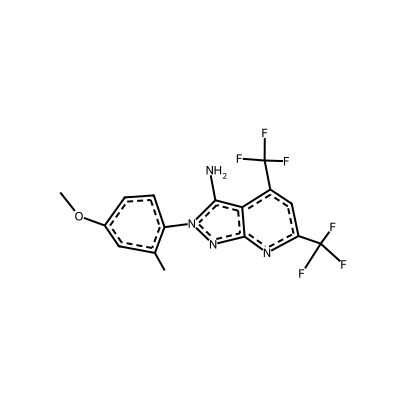 COc1ccc(-n2nc3nc(C(F)(F)F)cc(C(F)(F)F)c3c2N)c(C)c1